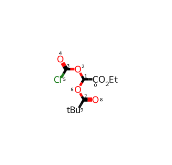 CCOC(=O)C(OC(=O)Cl)OC(=O)C(C)(C)C